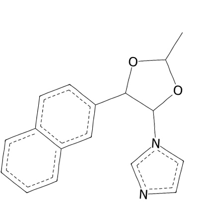 CC1OC(c2ccc3ccccc3c2)C(n2ccnc2)O1